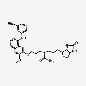 C#Cc1cccc(Nc2ncnc3cc(OC)c(OCCCC(CCCC4SCC5NC(=O)NC54)C(N)=O)cc23)c1